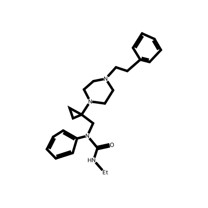 CCNC(=O)N(CC1(N2CCN(CCc3ccccc3)CC2)CC1)c1ccccc1